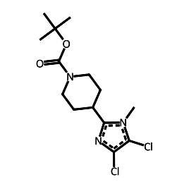 Cn1c(C2CCN(C(=O)OC(C)(C)C)CC2)nc(Cl)c1Cl